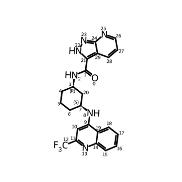 O=C(N[C@@H]1CCC[C@H](Nc2cc(C(F)(F)F)nc3ccccc23)C1)c1[nH]nc2ncccc12